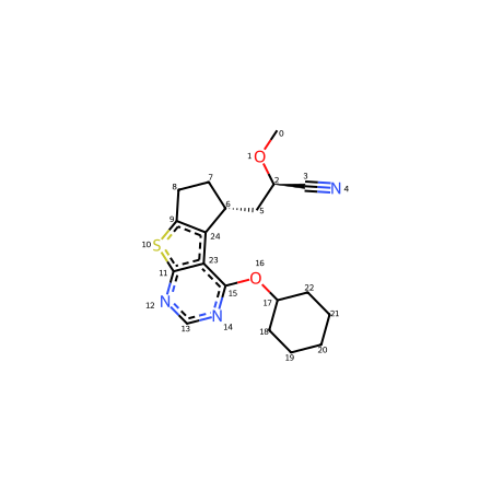 CO[C@@H](C#N)C[C@H]1CCc2sc3ncnc(OC4CCCCC4)c3c21